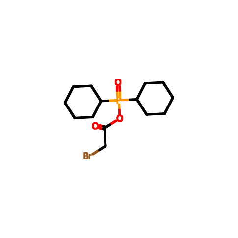 O=C(CBr)OP(=O)(C1CCCCC1)C1CCCCC1